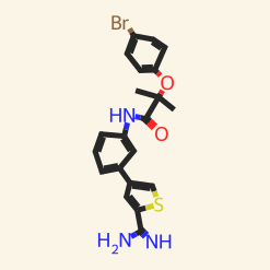 CC(C)(Oc1ccc(Br)cc1)C(=O)Nc1cccc(-c2csc(C(=N)N)c2)c1